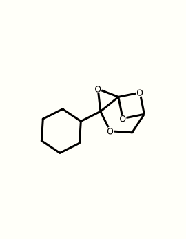 C1CCC(C23OCC4OC2(O4)O3)CC1